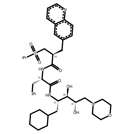 CC(C)C[C@H](NC(=O)[C@H](Cc1ccc2ncccc2c1)CS(=O)(=O)C(C)C)C(=O)N[C@@H](CC1CCCCC1)[C@@H](O)[C@@H](O)CN1CCOCC1